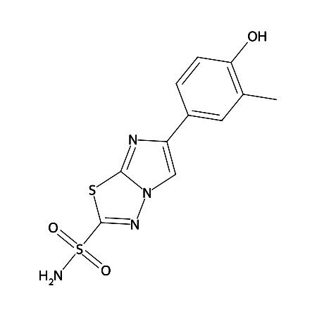 Cc1cc(-c2cn3nc(S(N)(=O)=O)sc3n2)ccc1O